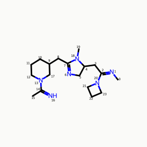 C/N=C(/CC1CN=C(CC2CCCN(C(C)=N)C2)N1C)N1CCC1